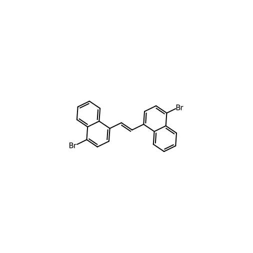 Brc1ccc(/C=C/c2ccc(Br)c3ccccc23)c2ccccc12